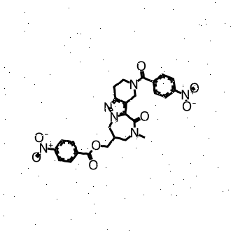 CN1CC(COC(=O)c2ccc([N+](=O)[O-])cc2)Cn2nc3c(c2C1=O)CN(C(=O)c1ccc([N+](=O)[O-])cc1)CC3